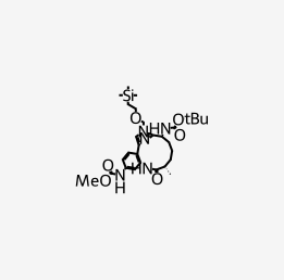 COC(=O)Nc1ccc2c(c1)NC(=O)[C@@H](C)CCC[C@H](NC(=O)OC(C)(C)C)c1nc-2cn1COCC[Si](C)(C)C